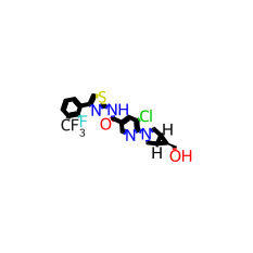 O=C(Nc1nc(-c2cccc(C(F)(F)F)c2F)cs1)c1cnc(N2C[C@@H]3[C@@H](CO)[C@@H]3C2)c(Cl)c1